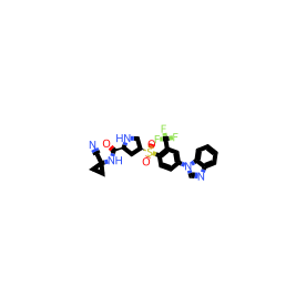 N#CC1(NC(=O)[C@@H]2C[C@@H](S(=O)(=O)c3ccc(-n4cnc5ccccc54)cc3C(F)(F)F)CN2)CC1